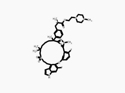 C[C@H](Cc1cccc(C2(C)CCCC(C)(C)CS(=O)(=O)CCc3c(c(F)cc4[nH]ccc34)Oc3ccc(F)c(c3)-c3nc2nn3C)c1)C(=O)OCCN1CCN(C)CC1